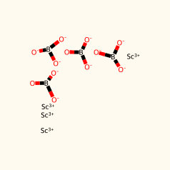 [O-]B([O-])[O-].[O-]B([O-])[O-].[O-]B([O-])[O-].[O-]B([O-])[O-].[Sc+3].[Sc+3].[Sc+3].[Sc+3]